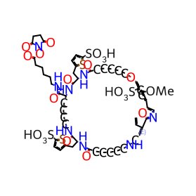 C=C/C1=C\CNCCCCCC(=O)NC(Cc2ccc(S(=O)(=O)O)s2)C(=O)NCCCCC(C(=O)NCCCCCC(=O)ON2C(=O)CCC2=O)NC(=O)C(Cc2ccc(S(=O)(=O)O)s2)NC(=O)CCCCCOc2cc(OC)c(cc2S(=O)(=O)O)-c2cnc1o2